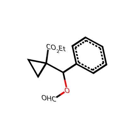 CCOC(=O)C1(C(OC=O)c2ccccc2)CC1